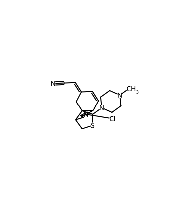 CN1CCN(C2SCC3=CC=CN(Cl)C4C=C/C(=C/C#N)CC342)CC1